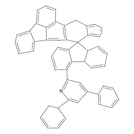 C1=CCC(c2cc(-c3ccccc3)cc(-c3cccc4c3C3C=CC=CC3C43c4ccccc4Cc4c3cc3c5c(cccc45)-c4ccccc4-3)n2)C=C1